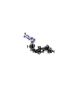 CC/C=C\C/C=C\C/C=C\C/C=C\C/C=C\C/C=C\CCC(=O)Nc1ccc(CN2CCN(C(=O)Oc3ccc4cc5c(cc4c3CN(C)C)Cn3c-5cc4c(c3=O)CCC(=O)[C@]4(O)CC)CC2)cc1